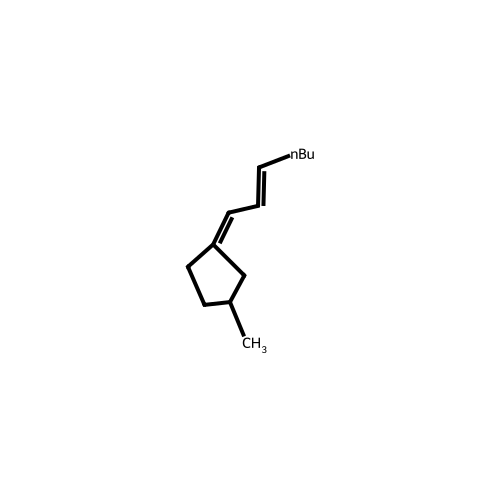 CCCCC=CC=C1CCC(C)C1